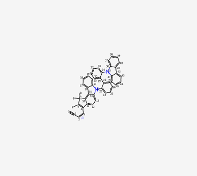 C#C/C=C\C1=C(C)C(C)(C)c2c1ccc1c2c2ccccc2n1-c1ccccc1-c1ccccc1-n1c2ccccc2c2ccccc21